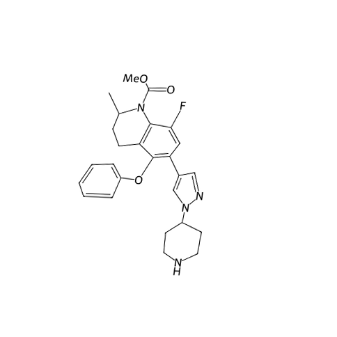 COC(=O)N1c2c(F)cc(-c3cnn(C4CCNCC4)c3)c(Oc3ccccc3)c2CCC1C